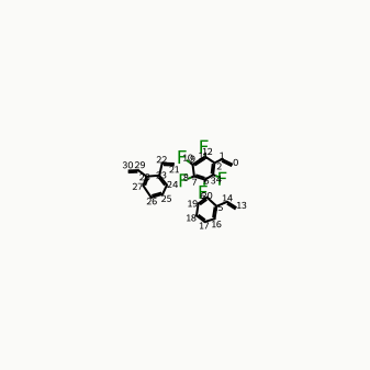 C=Cc1c(F)c(F)c(F)c(F)c1F.C=Cc1ccccc1.C=Cc1ccccc1C=C